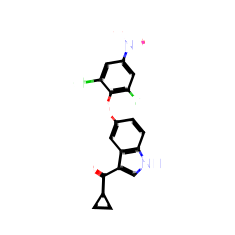 O=C(c1c[nH]c2ccc(Oc3c(Cl)cc([N+](=O)[O-])cc3Cl)cc12)C1CC1